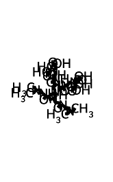 CCN(CC)CCNC(=O)CCN(CCC(=O)NCCN(CC)CC)CCN(CCC(=O)NCCN(CP(=O)(O)O)CP(=O)(O)O)CCC(=O)NCCN(CP(=O)(O)O)CP(=O)(O)O